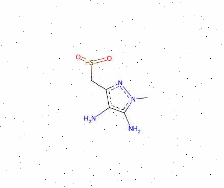 Cn1nc(C[SH](=O)=O)c(N)c1N